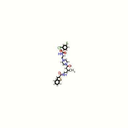 CC(CCNC(=O)c1cc2ccccc2s1)CC(=O)N1CCN(CCNS(=O)(=O)c2ccc(F)cc2Cl)CC1